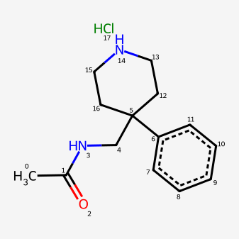 CC(=O)NCC1(c2ccccc2)CCNCC1.Cl